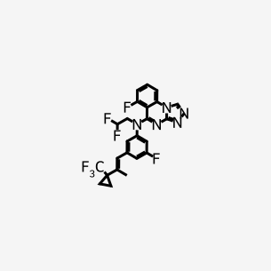 C/C(=C\c1cc(F)cc(N(CC(F)F)c2nc3nncn3c3cccc(F)c23)c1)C1(C(F)(F)F)CC1